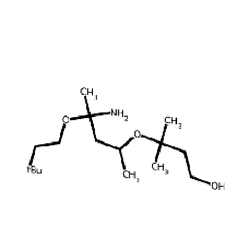 CC(CC(C)(N)OCCC(C)(C)C)OC(C)(C)CCO